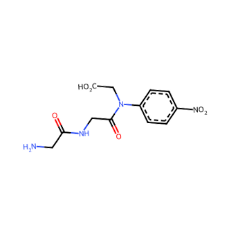 NCC(=O)NCC(=O)N(CC(=O)O)c1ccc([N+](=O)[O-])cc1